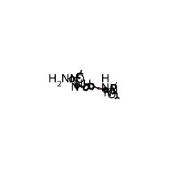 CC(C)CC(=O)N1C[C@H](C)C[C@H]1c1ncc(C#Cc2ccc3cc(-c4cnc([C@@H]5C[C@@H](N)CN5C(=O)CC(C)C)[nH]4)ccc3c2)[nH]1